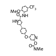 CNC(=O)Oc1cc(Oc2ccc(-c3c[nH]c(C(=O)Nc4cc(C(F)(F)F)ccc4OC)c3)cc2)ccn1